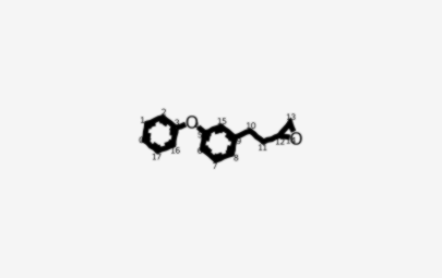 c1ccc(Oc2cccc(CCC3CO3)c2)cc1